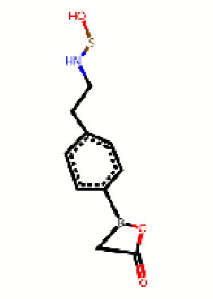 O=C1CB(c2ccc(CCNSO)cc2)O1